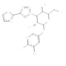 OCC1OC(Sc2cnc(C(F)(F)F)c(Br)c2)[C@@H](O)C(n2cc(-c3nccs3)nn2)C1O